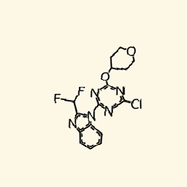 FC(F)c1nc2ccccc2n1-c1nc(Cl)nc(OC2CCOCC2)n1